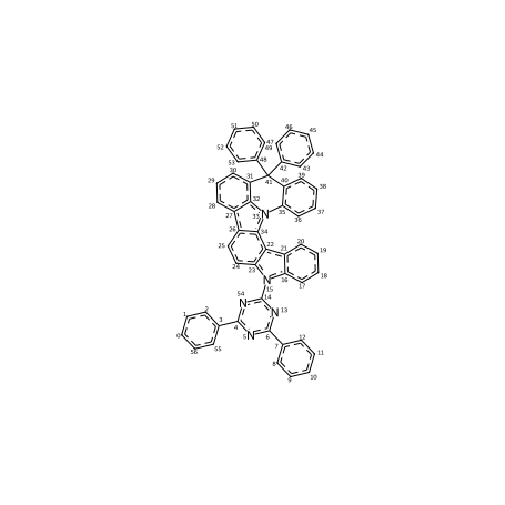 c1ccc(-c2nc(-c3ccccc3)nc(-n3c4ccccc4c4c3ccc3c5cccc6c5n(c34)-c3ccccc3C6(c3ccccc3)c3ccccc3)n2)cc1